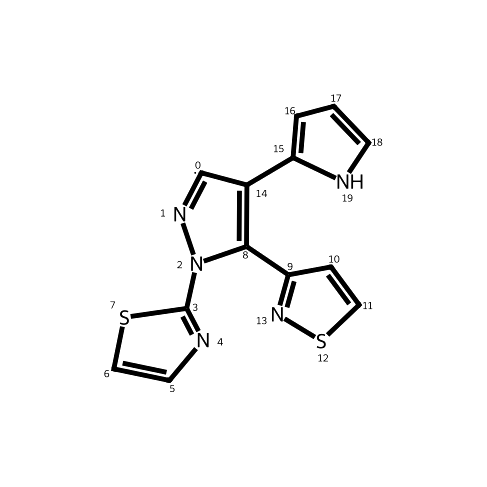 [c]1nn(-c2nccs2)c(-c2ccsn2)c1-c1ccc[nH]1